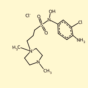 CN1CC[N+](C)(CCCS(=O)(=O)N(O)c2ccc(N)c(Cl)c2)CC1.[Cl-]